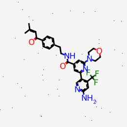 CC(C)=CC(=O)c1ccc(CCNC(=O)c2cc(-c3cnc(N)cc3C(F)(F)F)nc(N3CCOCC3)c2)cc1